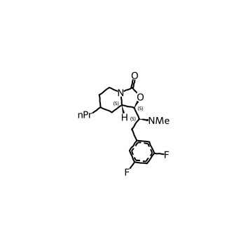 CCCC1CCN2C(=O)O[C@@H]([C@H](Cc3cc(F)cc(F)c3)NC)[C@@H]2C1